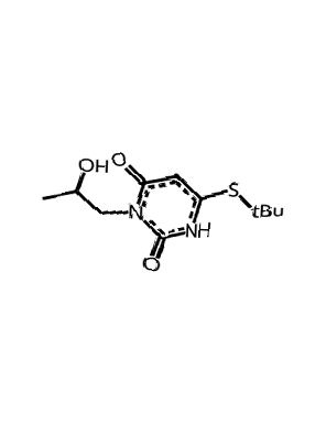 CC(O)Cn1c(=O)cc(SC(C)(C)C)[nH]c1=O